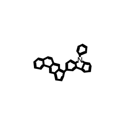 c1ccc(-n2c3ccccc3c3cc(-c4cccc5cc6c(ccc7ccccc76)cc45)ccc32)cc1